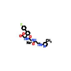 Cc1ccnc(NCCCC(=O)NCC(=O)NC(CC(=O)[O-])c2cccc(-c3ccc(F)cc3)c2)c1.[Na+]